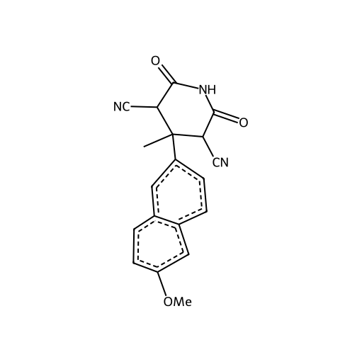 COc1ccc2cc(C3(C)C(C#N)C(=O)NC(=O)C3C#N)ccc2c1